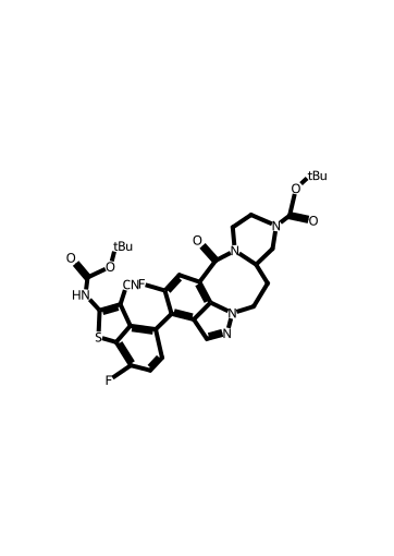 CC(C)(C)OC(=O)Nc1sc2c(F)ccc(-c3c(F)cc4c5c3cnn5CCC3CN(C(=O)OC(C)(C)C)CCN3C4=O)c2c1C#N